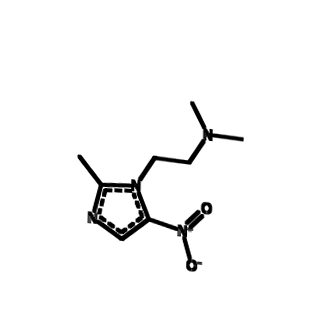 Cc1ncc([N+](=O)[O-])n1CCN(C)C